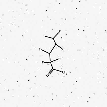 O=C(C(F)(F)F)C(F)(F)C(F)C(F)C(F)F